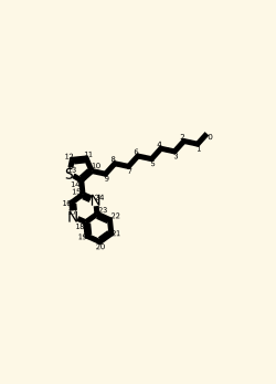 CCCCCCCCCCc1ccsc1-c1cnc2ccccc2n1